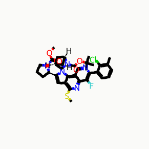 COC(=O)N1CCC[C@@H]1c1cc2c(SC)nc3c(F)c(-c4cccc(C)c4Cl)ncc3c2n1[C@H]1[C@@H]2C[C@H]1N(C(=O)OC(C)(C)C)C2